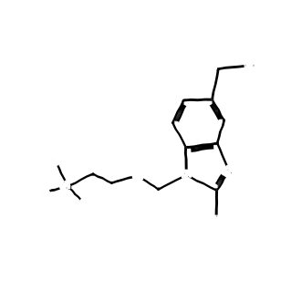 Cc1nc2cc(CO)ccc2n1COCC[Si](C)(C)C